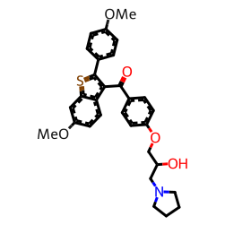 COc1ccc(-c2sc3cc(OC)ccc3c2C(=O)c2ccc(OCC(O)CN3CCCC3)cc2)cc1